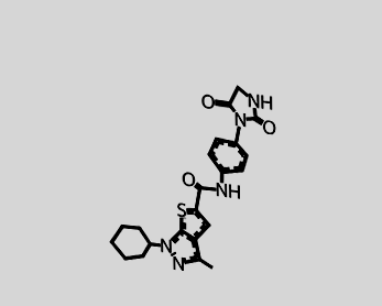 Cc1nn(C2CCCCC2)c2sc(C(=O)Nc3ccc(N4C(=O)CNC4=O)cc3)cc12